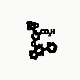 CC(C)(C)OC(=O)N1CC(Oc2nc(-c3ccccn3)nc3ccsc23)CC1C(=O)O